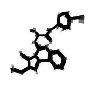 CC(C)CC1N=C2c3ccccc3N=C(SC(C)C(=O)Nc3ccc(Cl)cc3)N2C1=O